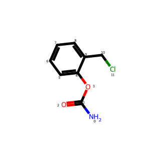 NC(=O)Oc1ccccc1CCl